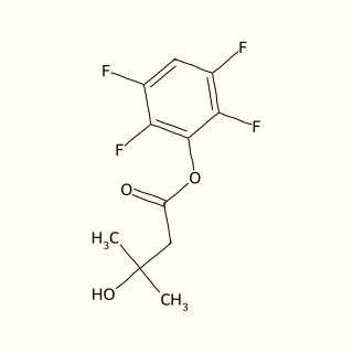 CC(C)(O)CC(=O)Oc1c(F)c(F)cc(F)c1F